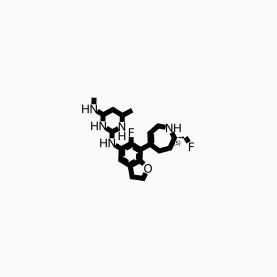 CNC1CC(C)NC(Nc2cc3c(c(C4=CCN[C@H](CF)CC4)c2F)OCC3)N1